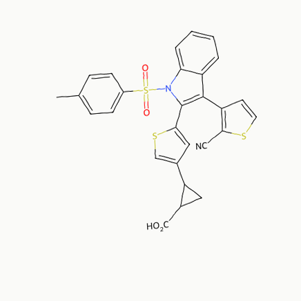 Cc1ccc(S(=O)(=O)n2c(-c3cc(C4CC4C(=O)O)cs3)c(-c3ccsc3C#N)c3ccccc32)cc1